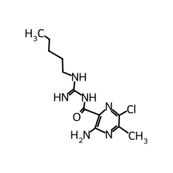 CCCCCNC(=N)NC(=O)c1nc(Cl)c(C)nc1N